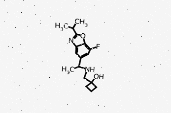 CC(C)c1nc2cc(C(C)NCC3(O)CCC3)cc(F)c2o1